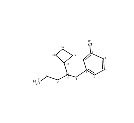 NCCN(Cc1cccc(Cl)c1)C1CCC1